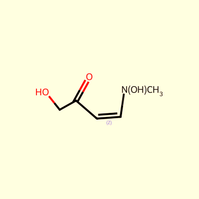 CN(O)/C=C\C(=O)CO